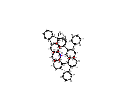 CC1(C)c2ccccc2-c2ccc(N(c3ccccc3-c3ccccc3-c3ccccc3)c3cccc(-c4ccccc4)c3-c3ccccc3-c3ccccc3)cc21